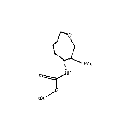 COC1COCCC[C@H]1NC(=O)OC(C)(C)C